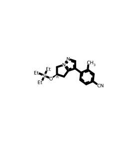 CC[Si](CC)(CC)O[C@@H]1Cc2c(-c3ccc(C#N)cc3C)cnn2C1